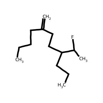 C=C(CCCC)CCC(CCC)C(C)F